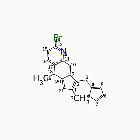 CC1=C(CC2=CC=CC2)C2=Cc3nc(Br)ccc3C(C)C2=C1